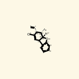 C=C[C@H]1C(Cl)=CC2c3ccccc3O[C@H]2[C@H]1C